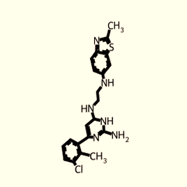 Cc1nc2ccc(NCCNC3C=C(c4cccc(Cl)c4C)N=C(N)N3)cc2s1